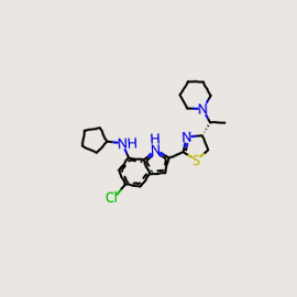 CC([C@@H]1CSC(c2cc3cc(Cl)cc(NC4CCCC4)c3[nH]2)=N1)N1CCCCC1